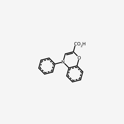 O=C(O)C1=CN(c2ccccc2)c2ccccc2O1